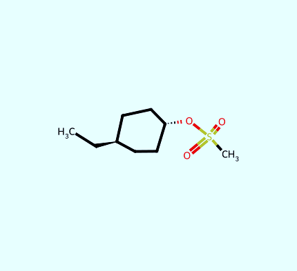 CC[C@H]1CC[C@H](OS(C)(=O)=O)CC1